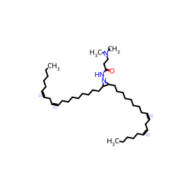 CCCCC/C=C\C/C=C\CCCCCCCCC1C(CCCCCCCC/C=C\C/C=C\CCCCC)N1NC(=O)CCN(C)C